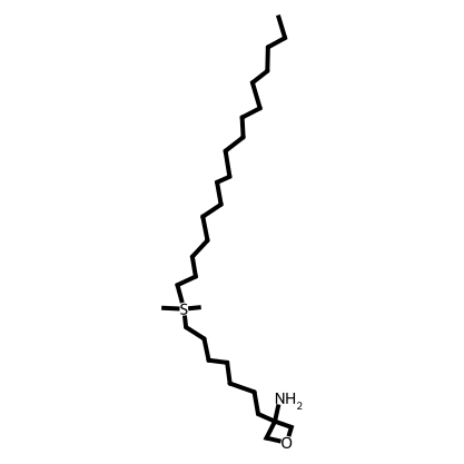 CCCCCCCCCCCCCCCCCS(C)(C)CCCCCCCC1(N)COC1